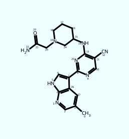 Cc1cnc2[nH]cc(-c3ncc(C#N)c(NC4CCCN(CC(N)=O)C4)n3)c2c1